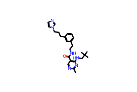 Cc1ncc(C(=O)NCCc2cccc(CCCn3ccnc3)c2)c(NCC(C)(C)C)n1